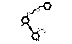 Nc1cnccc1C#Cc1cc(OCCOCc2ccccc2)ccc1F